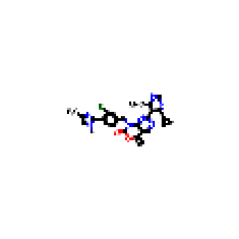 COc1ncnc(C2CC2)c1-c1ncc2c(n1)N(Cc1ccc(-c3nc(C(F)(F)F)cn3C)c(F)c1)C(=O)OC21CC1